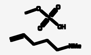 C=CCCCNC.COS(=O)(=O)O